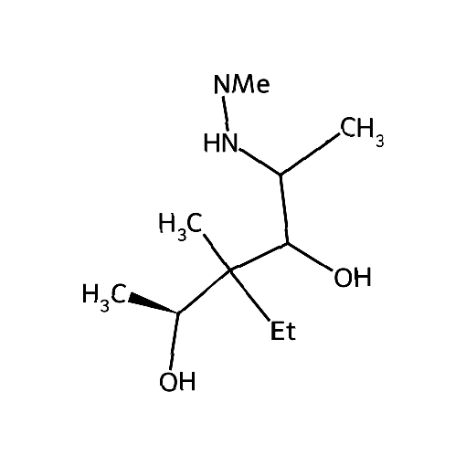 CCC(C)(C(O)C(C)NNC)[C@H](C)O